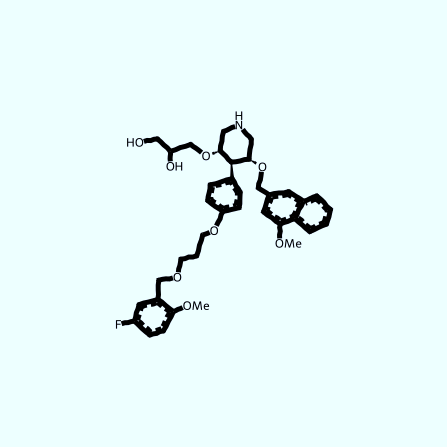 COc1ccc(F)cc1COCCCOc1ccc([C@@H]2[C@@H](OCc3cc(OC)c4ccccc4c3)CNC[C@H]2OCC(O)CO)cc1